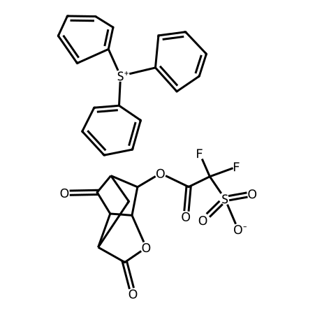 O=C1OC2C(OC(=O)C(F)(F)S(=O)(=O)[O-])C3CC1C2C3=O.c1ccc([S+](c2ccccc2)c2ccccc2)cc1